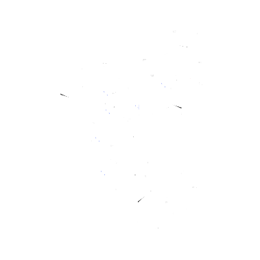 C[C@H](Oc1nc(C(=N)C2=C(O)[C@]3(CCCCC34OCCO4)CCC2)cc(N2C[C@H](C)N(C(=O)OC(C)(C)C)[C@@H](C)C2)n1)[C@@H]1CCCN1C